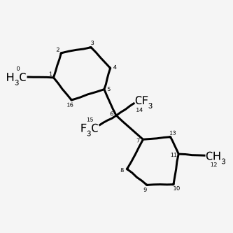 CC1CCCC(C(C2CCCC(C)C2)(C(F)(F)F)C(F)(F)F)C1